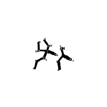 C=CC(=O)O.CCOP(=O)(OC)OC